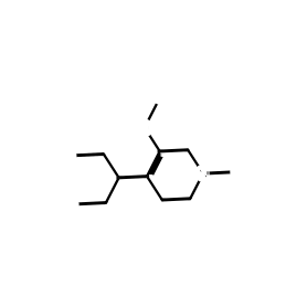 CCC(CC)C1=C(OC)CN(C)CC1